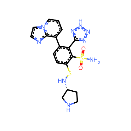 NS(=O)(=O)c1c(SN[C@@H]2CCNC2)ccc(-c2cccn3ccnc23)c1-c1nn[nH]n1